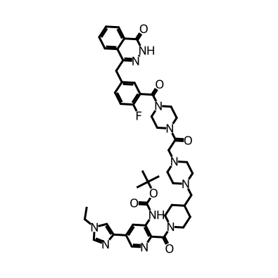 CCn1cnc(-c2cnc(C(=O)N3CCC(CN4CCN(CC(=O)N5CCN(C(=O)c6cc(Cc7n[nH]c(=O)c8ccccc78)ccc6F)CC5)CC4)CC3)c(NC(=O)OC(C)(C)C)c2)c1